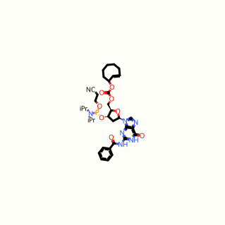 CC(C)N(C(C)C)P(OCCC#N)O[C@H]1C[C@H](n2cnc3c(=O)[nH]c(NC(=O)c4ccccc4)nc32)O[C@@H]1COC(=O)OC1/C=C/CCCCC1